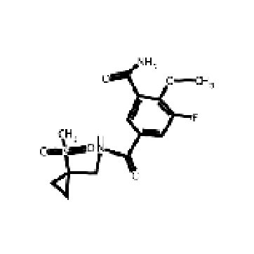 COc1c(F)cc(C(=O)NCC2(S(C)(=O)=O)CC2)cc1C(N)=O